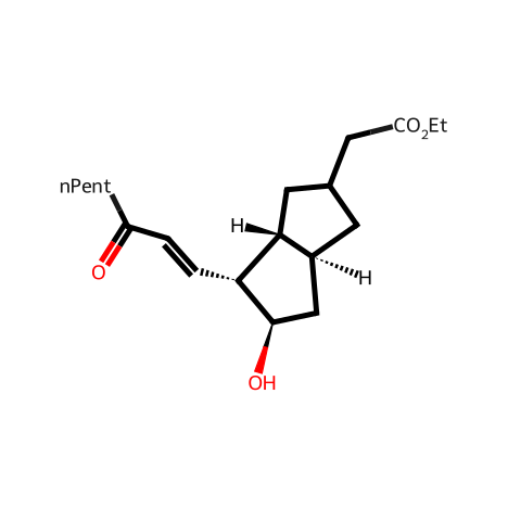 CCCCCC(=O)C=C[C@@H]1[C@@H]2CC(CC(=O)OCC)C[C@H]2C[C@H]1O